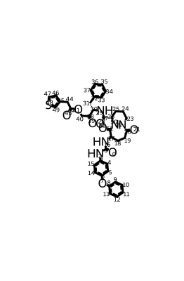 O=C(Nc1ccc(Oc2ccccc2)cc1)NC1CCC(=O)N2CCC[C@@H](C(=O)N[C@@H](Cc3ccccc3)C(=O)COC(=O)Cc3ccsc3)N2C1=O